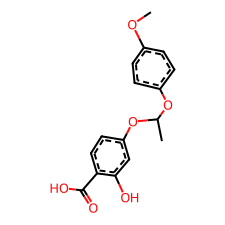 COc1ccc(OC(C)Oc2ccc(C(=O)O)c(O)c2)cc1